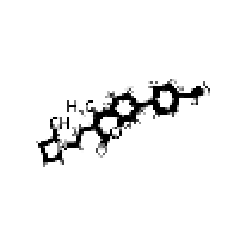 Cc1c(CCN2CCCC2C)c(=O)oc2cc(-c3ccc(C#N)cc3)ccc12